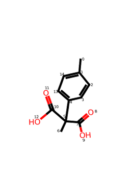 Cc1ccc(C(C)(C(=O)O)C(=O)O)cc1